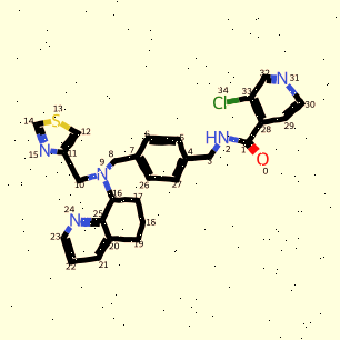 O=C(NCc1ccc(CN(Cc2cscn2)C2CCCc3cccnc32)cc1)c1ccncc1Cl